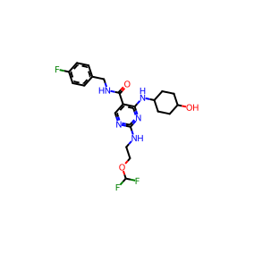 O=C(NCc1ccc(F)cc1)c1cnc(NCCOC(F)F)nc1NC1CCC(O)CC1